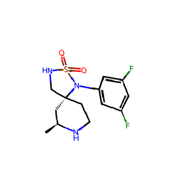 C[C@H]1C[C@]2(CCN1)CNS(=O)(=O)N2c1cc(F)cc(F)c1